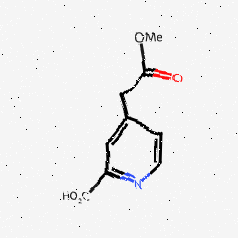 COC(=O)Cc1ccnc(C(=O)O)c1